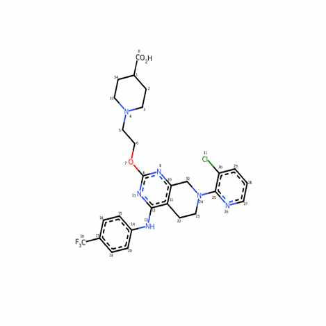 O=C(O)C1CCN(CCOc2nc3c(c(Nc4ccc(C(F)(F)F)cc4)n2)CCN(c2ncccc2Cl)C3)CC1